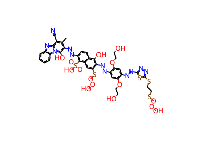 Cc1c(N=Nc2ccc3c(O)c(N=Nc4cc(OCCO)c(N=Nc5nnc(SCCSOOO)s5)cc4OCCO)c(SOOO)cc3c2S(=O)(=O)O)c(O)n2c(nc3ccccc32)c1C#N